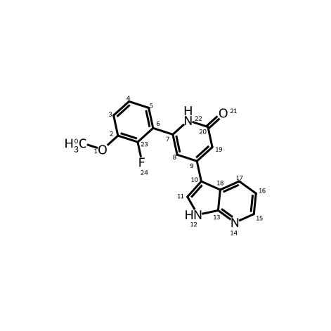 COc1cccc(-c2cc(-c3c[nH]c4ncccc34)cc(=O)[nH]2)c1F